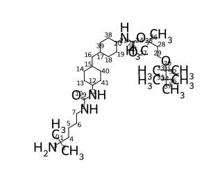 CC(C)(N)CCCCNC(=O)NC1CCC(CC2CCC(NC(=O)OC(C)(C)CCOC(C)(C)C(C)(C)C)CC2)CC1